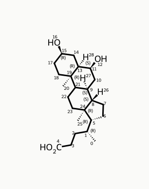 C[C@H](CCC(=O)O)[C@H]1CC[C@H]2[C@@H]3C[C@H](O)[C@@H]4C[C@H](O)CC[C@]4(C)C3CC[C@]12C